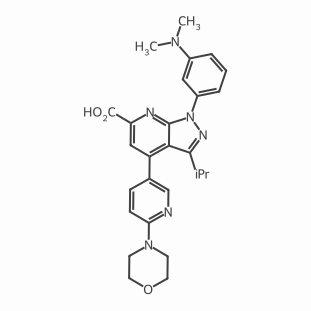 CC(C)c1nn(-c2cccc(N(C)C)c2)c2nc(C(=O)O)cc(-c3ccc(N4CCOCC4)nc3)c12